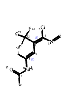 C=N/C(Cl)=C(\C=C(/C)NC(C)=O)C(F)(F)F